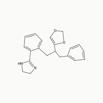 C1=C(C(Cc2ccccc2)Cc2ccccc2C2=NCCN2)OCO1